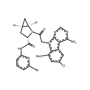 COc1cc(Cl)cc2c3c(N)ncnc3n(CC(=O)N3[C@@H]4C[C@@H]4C[C@H]3C(=O)Nc3cccc(Br)n3)c12